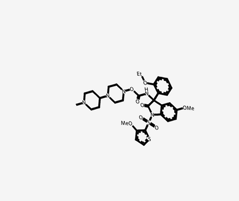 CCOc1ccccc1C1(NC(=O)ON2CCN(C3CCN(C)CC3)CC2)C(=O)N(S(=O)(=O)c2sccc2OC)c2ccc(OC)cc21